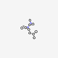 CC1(C)c2ccccc2-c2cc3c4cc(-c5cccc(-c6cc(-c7ccccc7)cc(-c7ccccc7)c6)c5)ccc4n(-c4ccc5c(c4)c4ccccc4n5-c4ccccc4)c3cc21